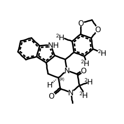 [2H]c1c([2H])c(C2c3[nH]c4ccccc4c3C[C@@H]3C(=O)N(C)C([2H])([2H])C(=O)N23)c([2H])c2c1OCO2